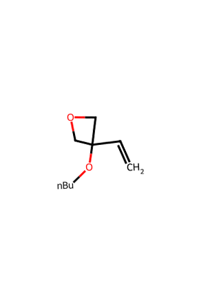 C=CC1(OCCCC)COC1